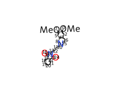 COc1cc2c(cc1OC)CN(CCCCN1C(=O)c3ccccc3C1=O)CC2